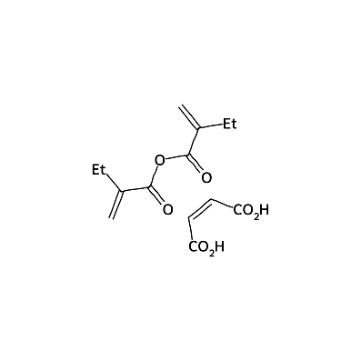 C=C(CC)C(=O)OC(=O)C(=C)CC.O=C(O)/C=C\C(=O)O